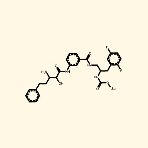 CC(C)(C)OC(=O)NC(CNC(=O)c1cccc(NC(=O)C(O)C(N)CCc2ccccc2)c1)Cc1cc(F)ccc1F